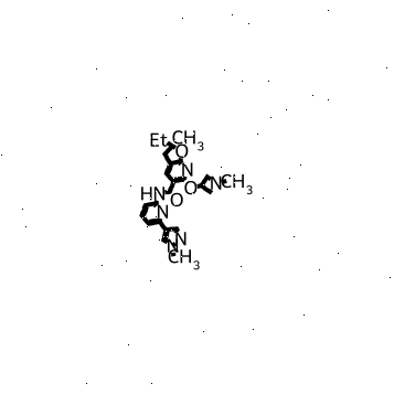 CCC1(C)Cc2cc(C(=O)Nc3cccc(-c4cnn(C)c4)n3)c(OC3CN(C)C3)nc2O1